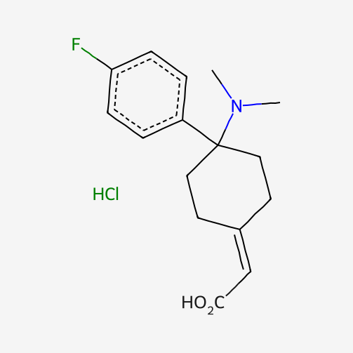 CN(C)C1(c2ccc(F)cc2)CCC(=CC(=O)O)CC1.Cl